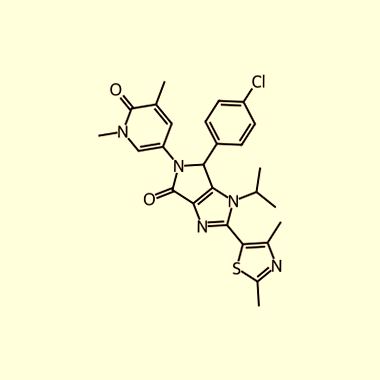 Cc1nc(C)c(-c2nc3c(n2C(C)C)C(c2ccc(Cl)cc2)N(c2cc(C)c(=O)n(C)c2)C3=O)s1